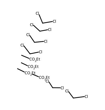 CCOC(C)=O.CCOC(C)=O.CCOC(C)=O.CCOC(C)=O.ClCCl.ClCCl.ClCCl.ClCCl.ClCCl.ClCCl